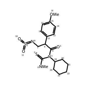 CNC(=S)N(C(=O)C(CN=S(=O)=O)c1ccc(OC)cc1)C1CCCCC1